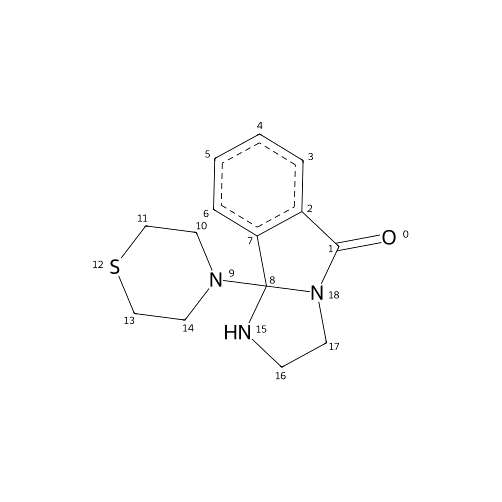 O=C1c2ccccc2C2(N3CCSCC3)NCCN12